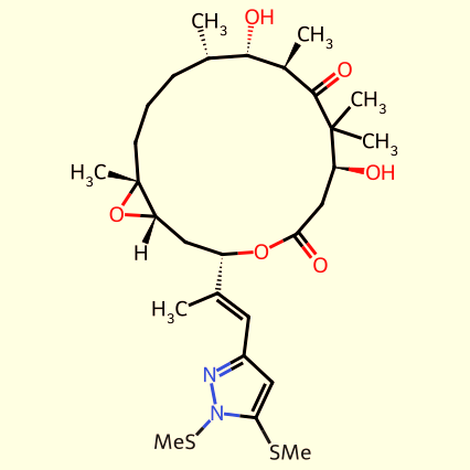 CSc1cc(/C=C(\C)[C@@H]2C[C@@H]3O[C@]3(C)CCC[C@H](C)[C@H](O)[C@@H](C)C(=O)C(C)(C)[C@@H](O)CC(=O)O2)nn1SC